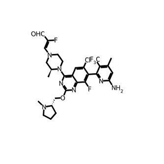 Cc1cc(N)nc(-c2c(Cl)cc3c(N4CCN(C=C(F)C=O)C[C@@H]4C)nc(OC[C@@H]4CCCN4C)nc3c2F)c1C(F)(F)F